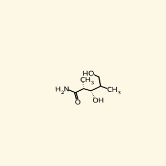 CC(CO)[C@H](O)[C@@H](C)C(N)=O